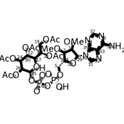 COC1C(OC)[C@@H](COP(=O)(O)OP(=O)(O)O[C@@H]2OC([C@@H](COC(C)=O)OC(C)=O)[C@@H](OC(C)=O)C(OC(C)=O)C2OC(C)=O)O[C@H]1n1cnc2c(N)ncnc21